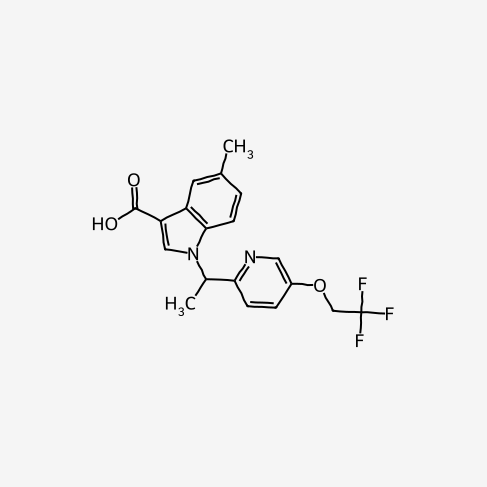 Cc1ccc2c(c1)c(C(=O)O)cn2C(C)c1ccc(OCC(F)(F)F)cn1